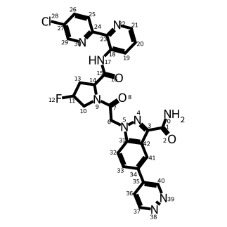 NC(=O)c1nn(CC(=O)N2CC(F)CC2C(=O)Nc2cccnc2-c2ccc(Cl)cn2)c2ccc(-c3ccnnc3)cc12